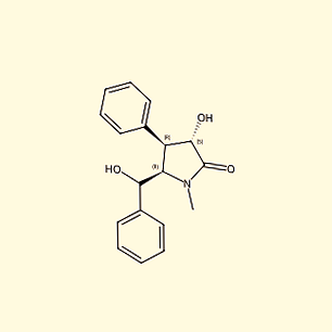 CN1C(=O)[C@@H](O)[C@H](c2ccccc2)[C@@H]1C(O)c1ccccc1